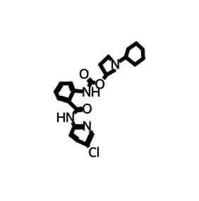 O=C(Nc1ccccc1C(=O)Nc1ccc(Cl)cn1)OC1CCN(C2CCCCC2)C1